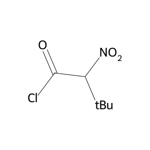 CC(C)(C)C(C(=O)Cl)[N+](=O)[O-]